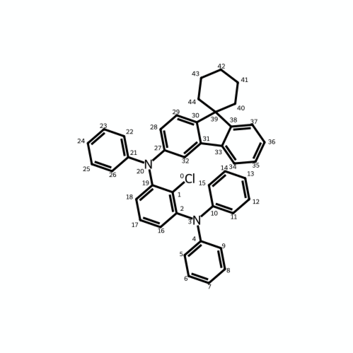 Clc1c(N(c2ccccc2)c2ccccc2)cccc1N(c1ccccc1)c1ccc2c(c1)-c1ccccc1C21CCCCC1